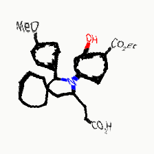 CCOC(=O)c1ccc(N2C(CCC(=O)O)CC3(CCCCCC3)C2c2ccc(OC)cc2)cc1O